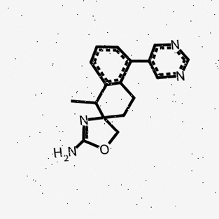 CC1c2cccc(-c3cncnc3)c2CCC12COC(N)=N2